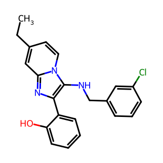 CCc1ccn2c(NCc3cccc(Cl)c3)c(-c3ccccc3O)nc2c1